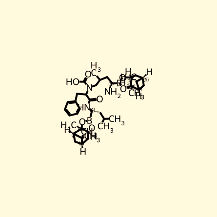 CC(C)C[C@@H](NC(=O)C(Cc1ccccc1)N(CC(C)C[C@H](N)B1O[C@@H]2C[C@@H]3C[C@@H](C3(C)C)[C@]2(C)O1)C(=O)O)B1O[C@H]2C[C@@H]3C[C@@H](C3(C)C)[C@]2(C)O1